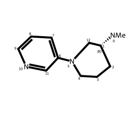 CN[C@@H]1CCCN(c2cccnc2)C1